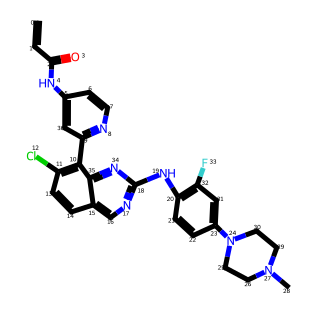 C=CC(=O)Nc1ccnc(-c2c(Cl)ccc3cnc(Nc4ccc(N5CCN(C)CC5)cc4F)nc23)c1